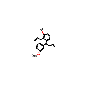 C=CCB(c1cccc(OCCCCCCCC)c1)c1cccc(OCCCCCCCC)c1CC=C